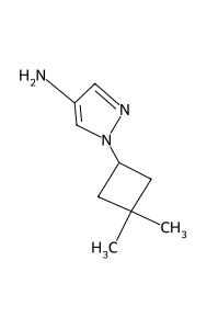 CC1(C)CC(n2cc(N)cn2)C1